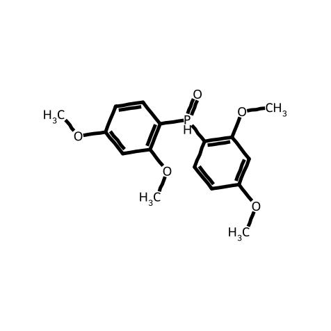 COc1ccc([PH](=O)c2ccc(OC)cc2OC)c(OC)c1